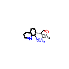 CC(C=O)c1ccc2cccnc2c1N